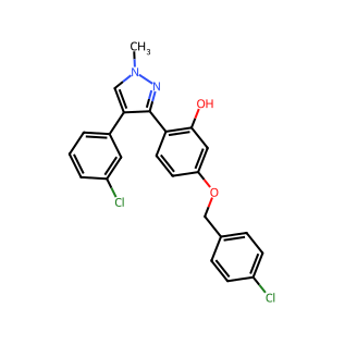 Cn1cc(-c2cccc(Cl)c2)c(-c2ccc(OCc3ccc(Cl)cc3)cc2O)n1